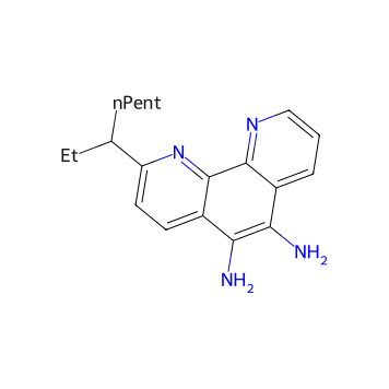 CCCCCC(CC)c1ccc2c(N)c(N)c3cccnc3c2n1